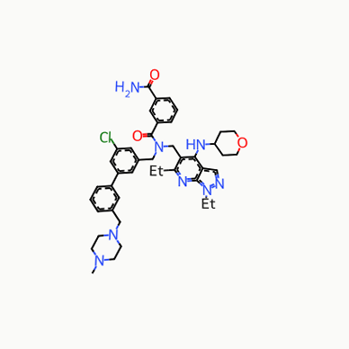 CCc1nc2c(cnn2CC)c(NC2CCOCC2)c1CN(Cc1cc(Cl)cc(-c2cccc(CN3CCN(C)CC3)c2)c1)C(=O)c1cccc(C(N)=O)c1